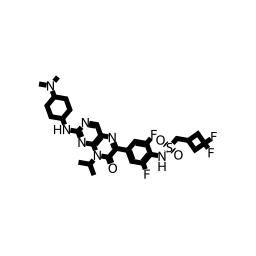 CC(C)n1c(=O)c(-c2cc(F)c(NS(=O)(=O)CC3CC(F)(F)C3)c(F)c2)nc2cnc(NC3CCC(N(C)C)CC3)nc21